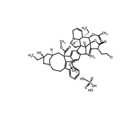 CC[C@]1(O)C[C@@H]2CN(CCc3c([nH]c4ccccc34)[C@@](C(=O)OC)(c3cc4c(cc3OC)N(C)[C@H]3[C@]5(OC(=O)N(CCCl)C5=O)[C@H](OC(C)=O)[C@]5(CC)C=CCN6CC[C@]43[C@@H]65)C2)C1.Cl.O=S(=O)(O)O